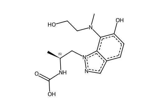 C[C@@H](Cn1ncc2ccc(O)c(N(C)CCO)c21)NC(=O)O